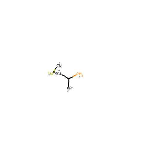 CCCCCC(P)CCC.N#CS